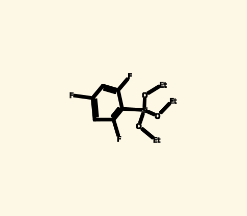 CCO[Si](OCC)(OCC)c1c(F)cc(F)cc1F